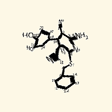 N#Cc1c(N)nc(SCc2ccccc2)c(C#N)c1-c1ccc(O)c(O)c1